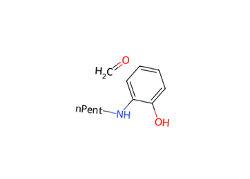 C=O.CCCCCNc1ccccc1O